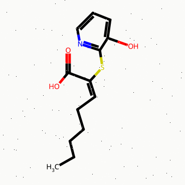 CCCCCC=C(Sc1ncccc1O)C(=O)O